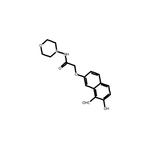 O=Cc1c(O)ccc2ccc(OCC(=O)NN3CCOCC3)cc12